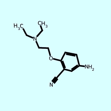 CCN(CC)CCOc1ccc(N)cc1C#N